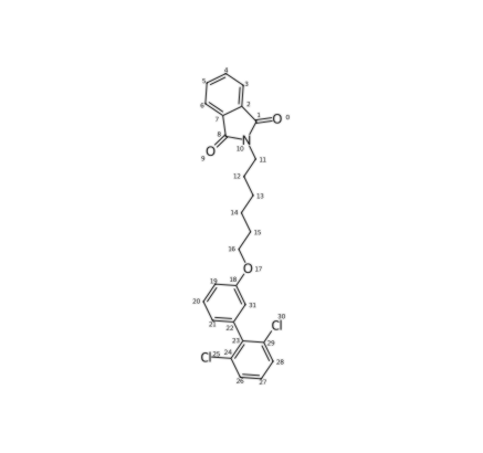 O=C1c2ccccc2C(=O)N1CCCCCCOc1cccc(-c2c(Cl)cccc2Cl)c1